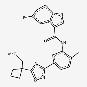 COCC1(c2nc(-c3ccc(C)c(NC(=O)c4cnc5ccc(F)cn45)c3)no2)CCC1